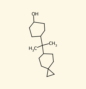 CC(C)(C1CCC(O)CC1)C1CCC2(CC1)CC2